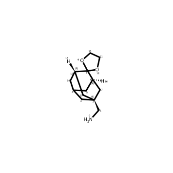 NC[C@]12CC3C[C@H](C1)C1(OCCO1)[C@@H](C3)C2